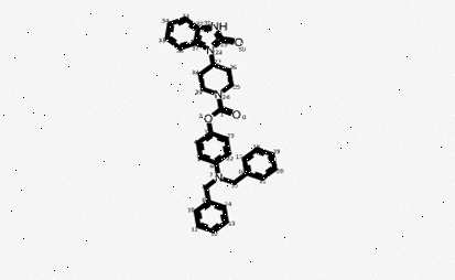 O=C(Oc1ccc(N(Cc2ccccc2)Cc2ccccc2)cc1)N1CCC(n2c(=O)[nH]c3ccccc32)CC1